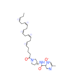 CC/C=C\C/C=C\C/C=C\C/C=C\C/C=C\CCCC(=O)N1CC[C@@H](NC(=O)c2cnc(C)c[n+]2[O-])C1